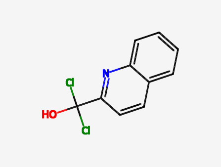 OC(Cl)(Cl)c1ccc2ccccc2n1